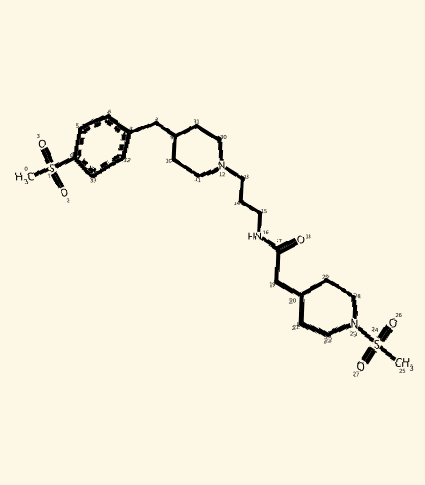 CS(=O)(=O)c1ccc(CC2CCN(CCCNC(=O)CC3CCN(S(C)(=O)=O)CC3)CC2)cc1